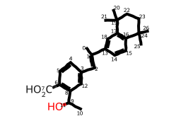 C/C(=C\c1ccc(C(=O)O)c(C(C)O)c1)c1ccc2c(c1)C(C)(C)CCC2(C)C